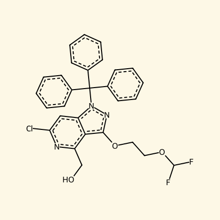 OCc1nc(Cl)cc2c1c(OCCOC(F)F)nn2C(c1ccccc1)(c1ccccc1)c1ccccc1